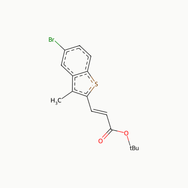 Cc1c(/C=C/C(=O)OC(C)(C)C)sc2ccc(Br)cc12